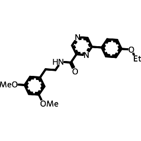 CCOc1ccc(-c2cncc(C(=O)NCCc3cc(OC)cc(OC)c3)n2)cc1